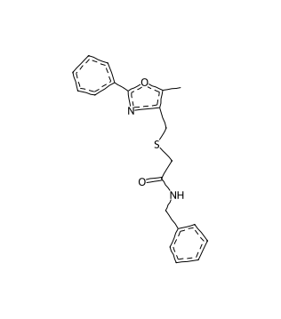 Cc1oc(-c2ccccc2)nc1CSCC(=O)NCc1ccccc1